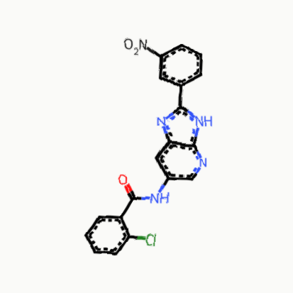 O=C(Nc1cnc2[nH]c(-c3cccc([N+](=O)[O-])c3)nc2c1)c1ccccc1Cl